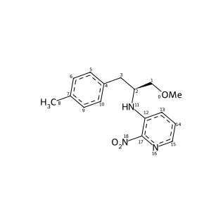 COC[C@H](Cc1ccc(C)cc1)Nc1cccnc1[N+](=O)[O-]